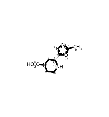 Cc1nnc([C@H]2CN(C(=O)O)CCN2)o1